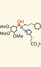 COc1cc([C@@H](O)[C@@H](CCCc2ccccc2)Cn2ccc(CCC(=O)O)c2)cc(OC)c1OC